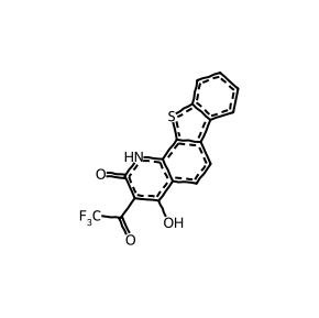 O=C(c1c(O)c2ccc3c4ccccc4sc3c2[nH]c1=O)C(F)(F)F